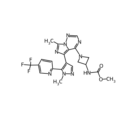 COC(=O)NC1CN(c2ncnn3c(C)nc(-c4cnn(C)c4-c4ccc(C(F)(F)F)cn4)c23)C1